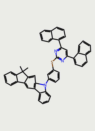 CC1(C)c2ccccc2-c2cc3c4ccccc4n(-c4cccc(Sc5nc(-c6cccc7ccccc67)cc(-c6cccc7ccccc67)n5)c4)c3cc21